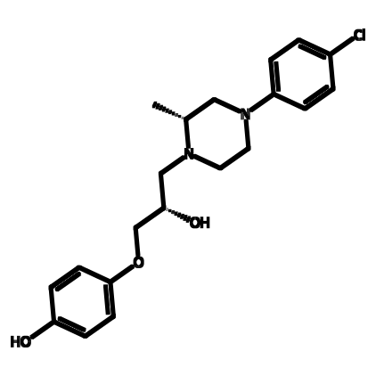 C[C@@H]1CN(c2ccc(Cl)cc2)CCN1C[C@H](O)COc1ccc(O)cc1